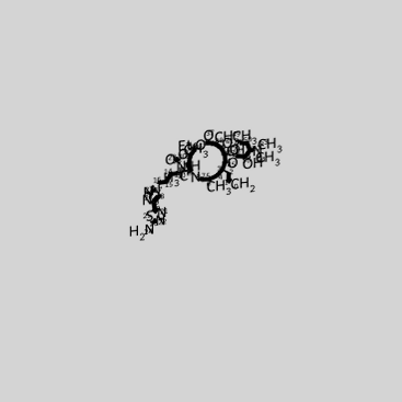 C=CC[C@H]1C[C@@H](C)CN[C@H](C)[C@H]2N(CCCCn3cc(-c4nnc(N)s4)nn3)C(=O)O[C@]2(C)[C@@H](CC)OC(=O)[C@H](C)C(=O)[C@H](C)[C@H]1O[C@@H]1O[C@H](C)CC(N(C)C)C1O